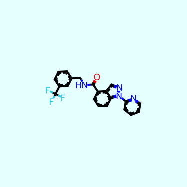 O=C(NCc1cccc(C(F)(F)F)c1)c1cccc2c1cnn2-c1ccccn1